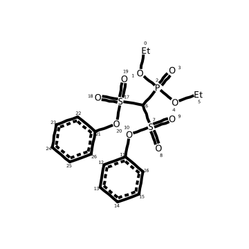 CCOP(=O)(OCC)C(S(=O)(=O)Oc1ccccc1)S(=O)(=O)Oc1ccccc1